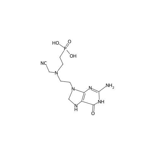 N#CCN(CCN1CNc2c1nc(N)[nH]c2=O)CCP(=O)(O)O